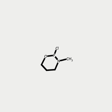 CN1CCCOP1Cl